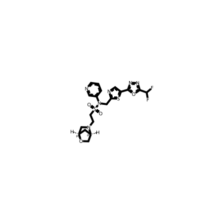 O=S(=O)(CCN1C[C@H]2C[C@@H]1CO2)N(Cc1ncc(-c2nnc(C(F)F)o2)s1)c1cccnc1